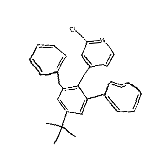 CC(C)(C)c1cc(-c2ccccc2)c(-c2ccnc(Cl)c2)c(-c2ccccc2)c1